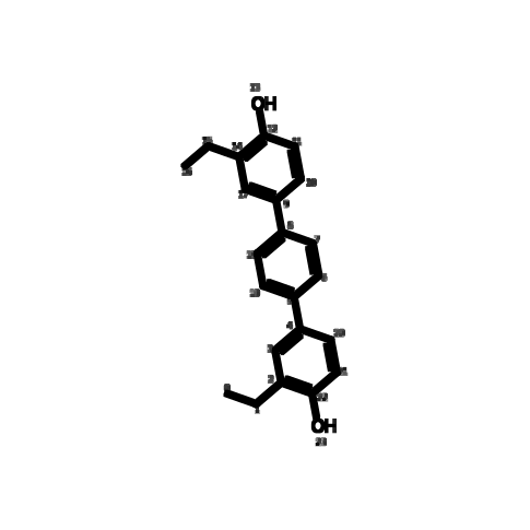 CCc1cc(-c2ccc(-c3ccc(O)c(CC)c3)cc2)ccc1O